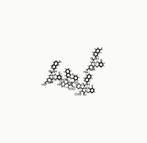 CC(=O)N(NCc1cccc(F)c1Cl)[C@@H](CC=O)C(OC(=O)Nc1cc2ccccc2cn1)N1CCNCC1.CC(=O)N(NCc1cccc(F)c1F)[C@@H](CC=O)C(ON(C=O)c1cc2ccccc2cn1)N1CCNCC1.CC(=O)N(NCc1cccc(F)c1F)[C@H](COC(=O)Nc1cc2cc(F)ccc2cn1)C[C@@H](O)CO.CC(=O)N(NCc1cccc(F)c1F)[C@H](COC(=O)Nc1cc2cc(F)ccc2cn1)C[C@H](O)CO